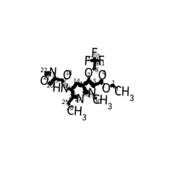 CCOC(=O)c1c(OCC(F)(F)F)c2cc(NC(=O)c3cocn3)c(CC)nc2n1C